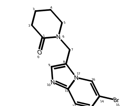 O=C1CCCCN1Cc1cnc2ccc(Br)cn12